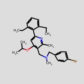 CCc1cccc(CC)c1-c1cc(OC(C)C)c(CN(C)Cc2ccc(Br)cc2)c(C)n1